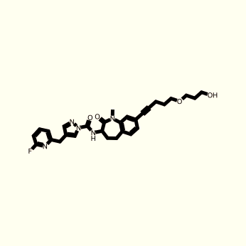 CN1C(=O)C(NC(=O)n2cc(Cc3cccc(F)n3)cn2)CCc2ccc(C#CCCCOCCCO)cc21